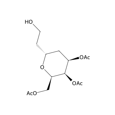 CC(=O)OC[C@H]1O[C@H](CCO)C[C@@H](OC(C)=O)[C@H]1OC(C)=O